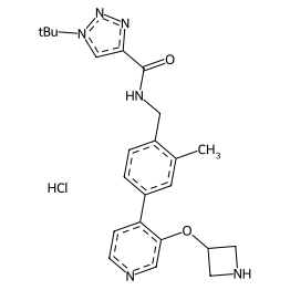 Cc1cc(-c2ccncc2OC2CNC2)ccc1CNC(=O)c1cn(C(C)(C)C)nn1.Cl